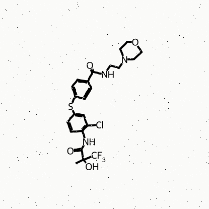 CC(O)(C(=O)Nc1ccc(Sc2ccc(C(=O)NCCN3CCOCC3)cc2)cc1Cl)C(F)(F)F